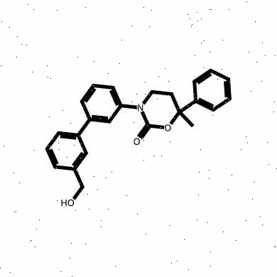 CC1(c2ccccc2)CCN(c2cccc(-c3cccc(CO)c3)c2)C(=O)O1